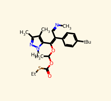 CCSC(=O)OC(C)O/C(=C(/C=N\C)c1ccc(C(C)(C)C)cc1)c1c(C)c(C)nn1C